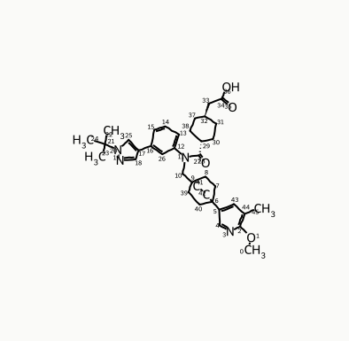 COc1ncc(C23CCC(CN(c4cccc(-c5cnn(C(C)(C)C)c5)c4)C(=O)[C@H]4CC[C@H](CC(=O)O)CC4)(CC2)CC3)cc1C